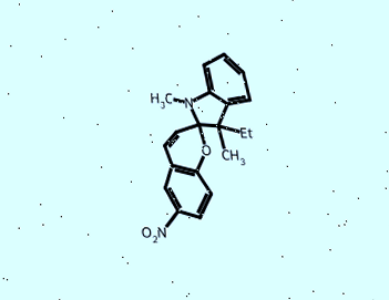 CCC1(C)c2ccccc2N(C)C12C=Cc1cc([N+](=O)[O-])ccc1O2